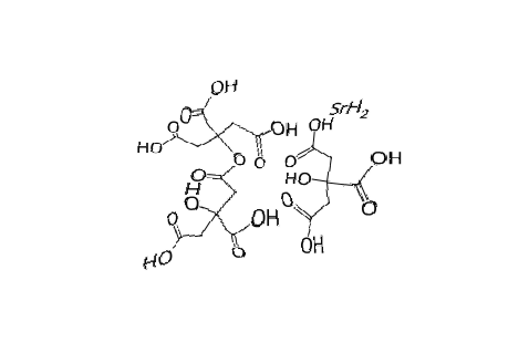 O=C(O)CC(O)(CC(=O)O)C(=O)O.O=C(O)CC(O)(CC(=O)OC(CC(=O)O)(CC(=O)O)C(=O)O)C(=O)O.[SrH2]